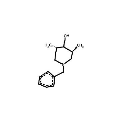 C[C@H]1CN(Cc2ccccc2)C[C@H](C)C1O